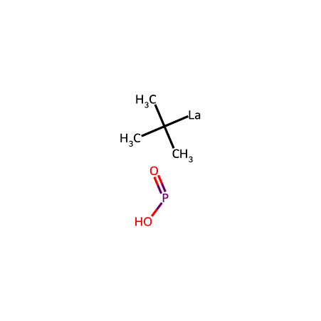 C[C](C)(C)[La].O=PO